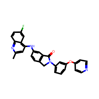 Cc1cc(Nc2ccc3c(c2)C(=O)N(c2cccc(Oc4ccncc4)c2)C3)c2cc(F)ccc2n1